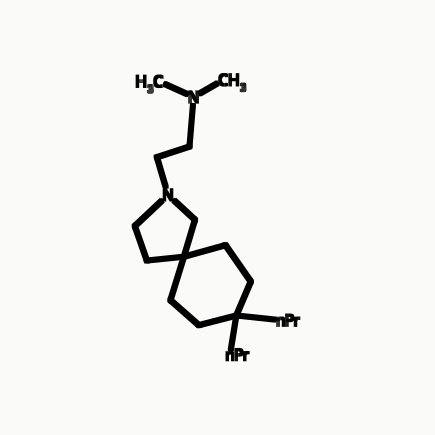 CCCC1(CCC)CCC2(CCN(CCN(C)C)C2)CC1